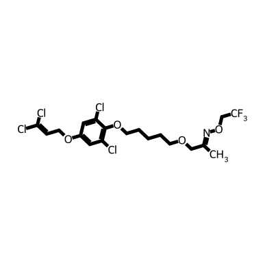 CC(COCCCCCOc1c(Cl)cc(OCC=C(Cl)Cl)cc1Cl)=NOCC(F)(F)F